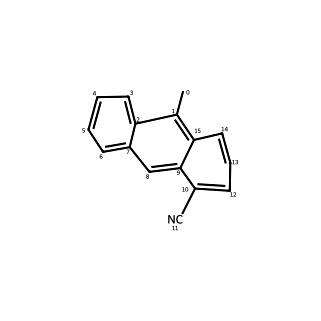 Cc1c2ccccc2cc2c(C#N)cccc12